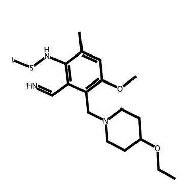 CCOC1CCN(Cc2c(OC)cc(C)c(NSI)c2C=N)CC1